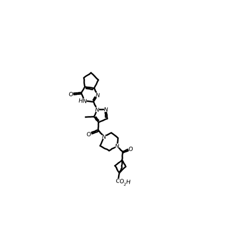 Cc1c(C(=O)N2CCN(C(=O)C34CC(C(=O)O)(C3)C4)CC2)cnn1-c1nc2c(c(=O)[nH]1)CCC2